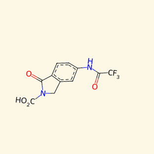 O=C(O)N1Cc2cc(NC(=O)C(F)(F)F)ccc2C1=O